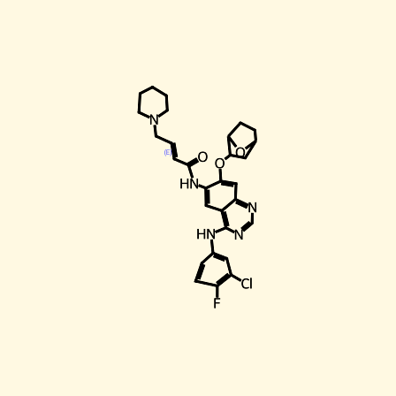 O=C(/C=C/CN1CCCCC1)Nc1cc2c(Nc3ccc(F)c(Cl)c3)ncnc2cc1OC1CC2CCC1O2